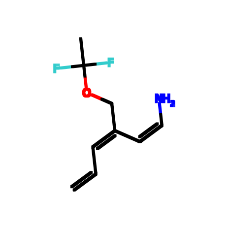 C=C/C=C(\C=C/N)COC(C)(F)F